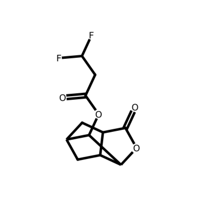 O=C(CC(F)F)OC1C2CC3C(=O)OC1C3C2